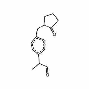 CC([C]=O)c1ccc(CC2CCCC2=O)cc1